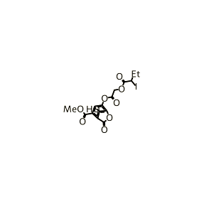 CCC(I)C(=O)OCC(=O)Oc1cc(C(=O)OC)c2c(O)c1OC2=O